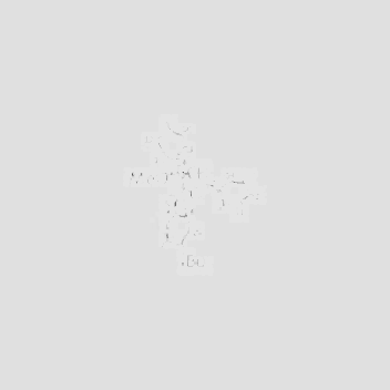 CCC(C)c1ccc(OC(OCc2ccccc2)C(C)(OC)c2ccccc2)cc1